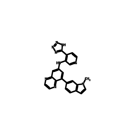 Cn1ccc2ccc(-c3cc(Nc4cnccc4-c4nnn[nH]4)cc4nccnc34)cc21